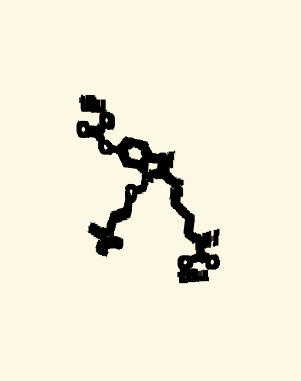 CC(C)(C)OC(=O)NCCCSc1nc2ccc(OC(=O)OC(C)(C)C)cc2n1COCC[Si](C)(C)C